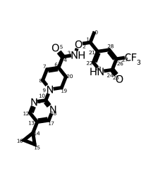 CC(ONC(=O)C1=CCN(c2ncc(C3CC3)cn2)CC1)c1c[nH]c(=O)c(C(F)(F)F)c1